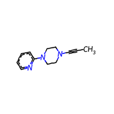 CC#CN1CCN(c2ccccn2)CC1